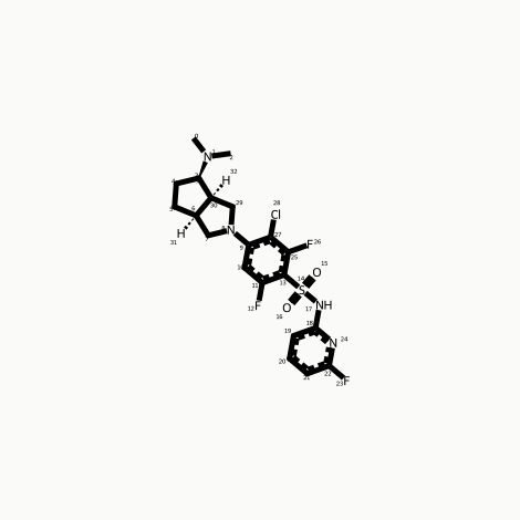 CN(C)[C@@H]1CC[C@@H]2CN(c3cc(F)c(S(=O)(=O)Nc4cccc(F)n4)c(F)c3Cl)C[C@@H]21